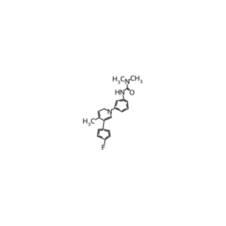 CC1=CCN(c2cccc(NC(=O)N(C)C)c2)C=C1c1ccc(F)cc1